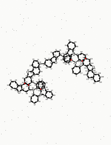 c1ccc(N(c2ccc(-c3cccc4c3oc3ccc(-c5cccc6c5ccc5c6oc6cccc(-c7ccccc7N(c7ccc8c(c7)oc7ccccc78)c7ccccc7-n7c8ccccc8c8ccccc87)c65)cc34)cc2)c2ccccc2-n2c3ccccc3c3ccccc32)c(-c2cccc3oc4c5ccccc5ccc4c23)c1